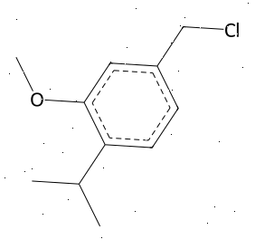 COc1cc(CCl)ccc1C(C)C